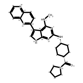 CNc1nc(N[C@H]2CC[C@@H](C(=O)N3CCCC3)CC2)nc2[nH]cc(-c3ccc4ncccc4n3)c12